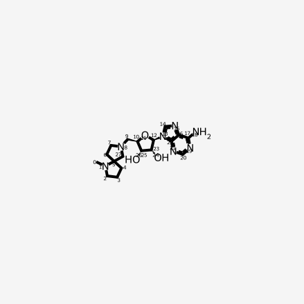 CN1CCCC12CCN(C[C@H]1O[C@@H](n3cnc4c(N)ncnc43)[C@H](O)[C@@H]1O)C2